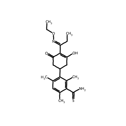 CCON=C(CC)C1=C(O)CC(c2c(C)cc(C)c(C(N)=S)c2C)CC1=O